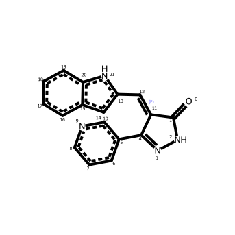 O=C1NN=C(c2cccnc2)/C1=C\c1cc2ccccc2[nH]1